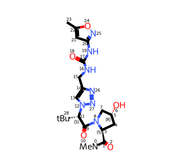 CNC(=O)[C@@H]1C[C@@H](O)CN1C(=O)[C@@H](n1cc(CNC(=O)Nc2cc(C)on2)nn1)C(C)(C)C